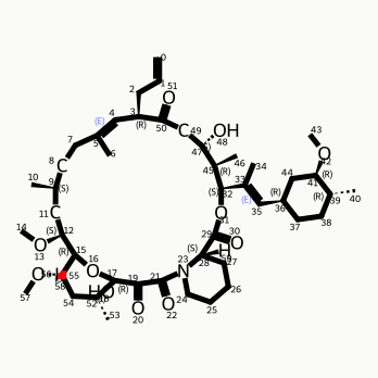 C=CC[C@@H]1/C=C(\C)CC[C@H](C)C[C@H](OC)[C@H]2O[C@@](O)(C(=O)C(=O)N3CCCC[C@H]3C(=O)O[C@H](/C(C)=C/[C@@H]3CC[C@@H](C)[C@H](OC)C3)[C@H](C)[C@@H](O)CC1=O)[C@H](C)C[C@@H]2OC